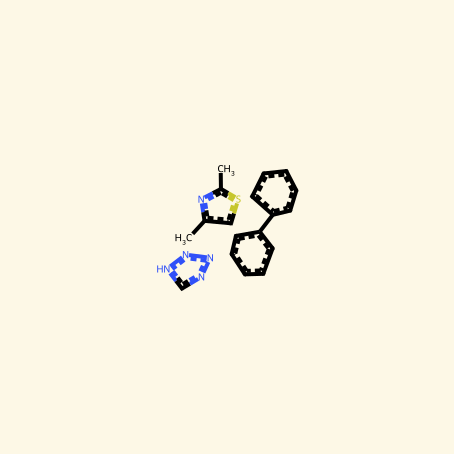 Cc1csc(C)n1.c1ccc(-c2ccccc2)cc1.c1nnn[nH]1